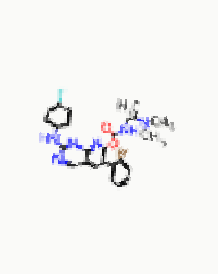 CC(CNC(=O)Oc1nc2nc(Nc3ccc(F)cc3)ncc2cc1-c1ccccc1Br)N(C)C